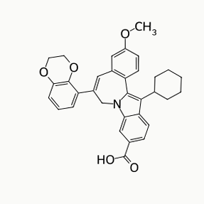 COc1ccc2c(c1)C=C(c1cccc3c1OCCO3)Cn1c-2c(C2CCCCC2)c2ccc(C(=O)O)cc21